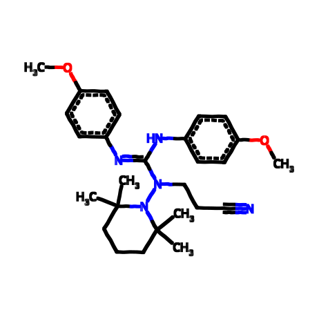 COc1ccc(N=C(Nc2ccc(OC)cc2)N(CCC#N)N2C(C)(C)CCCC2(C)C)cc1